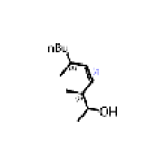 CCCC[C@H](C)/C=C\[C@H](C)C(C)O